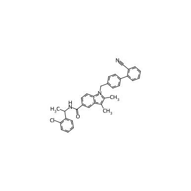 Cc1c(C)n(Cc2ccc(-c3ccccc3C#N)cc2)c2ccc(C(=O)NC(C)c3ccccc3Cl)cc12